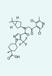 Cc1ncc(Cl)c(C(=O)CN(C(=O)c2cnn([C@H]3CC[C@](C)(C(=O)O)CC3)c2C(F)(F)F)[C@H]2C[C@@H]3[C@H](C2)C3(C)C)c1Cl